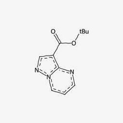 CC(C)(C)OC(=O)c1cnn2cccnc12